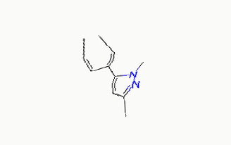 C/C=C\C(=C/C)c1cc(C)nn1C